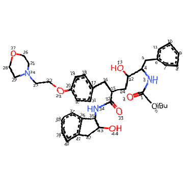 CC(C)COC(=O)NC(Cc1ccccc1)C(O)CC(Cc1ccc(OCCN2CCOCC2)cc1)C(=O)NC1c2ccccc2CC1O